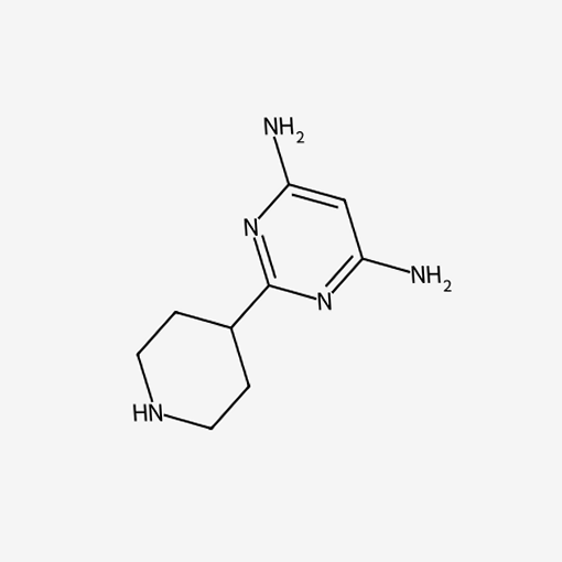 Nc1cc(N)nc(C2CCNCC2)n1